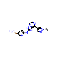 Cn1cc(-c2nccn3nc(Nc4ccc(SN)cn4)nc23)cn1